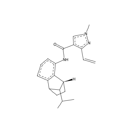 C=Cc1nn(C)cc1C(=O)Nc1cccc2c1[C@@H]1CCC2C1C(C)C